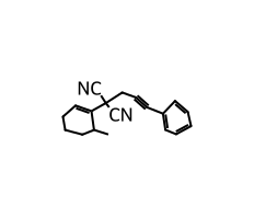 CC1CCCC=C1C(C#N)(C#N)CC#Cc1ccccc1